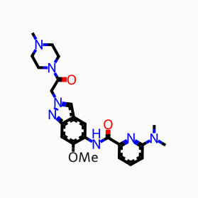 COc1cc2nn(CC(=O)N3CCN(C)CC3)cc2cc1NC(=O)c1cccc(N(C)C)n1